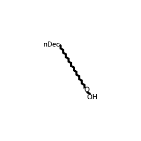 CCCCCCCCCCCCCCCCCCCCCCCCCCCCCCOCCO